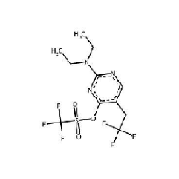 CCN(CC)c1ncc(CC(F)(F)F)c(OS(=O)(=O)C(F)(F)F)n1